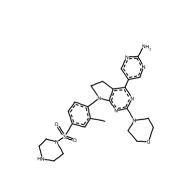 Cc1cc(S(=O)(=O)N2CCNCC2)ccc1N1CCc2c(-c3cnc(N)nc3)nc(N3CCOCC3)nc21